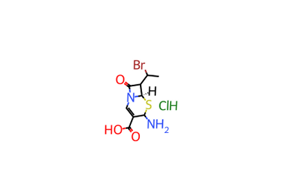 CC(Br)C1C(=O)N2C=C(C(=O)O)C(N)S[C@H]12.Cl